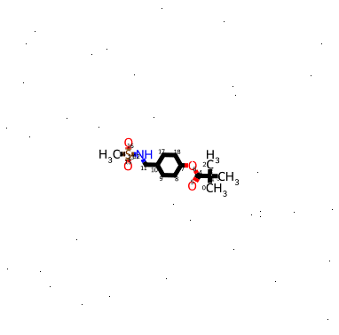 CC(C)(C)C(=O)OC1CCC(CNS(C)(=O)=O)CC1